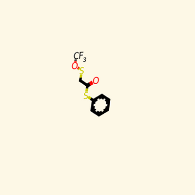 O=C(CSOC(F)(F)F)Sc1ccccc1